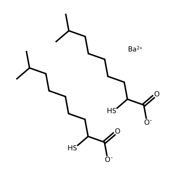 CC(C)CCCCCC(S)C(=O)[O-].CC(C)CCCCCC(S)C(=O)[O-].[Ba+2]